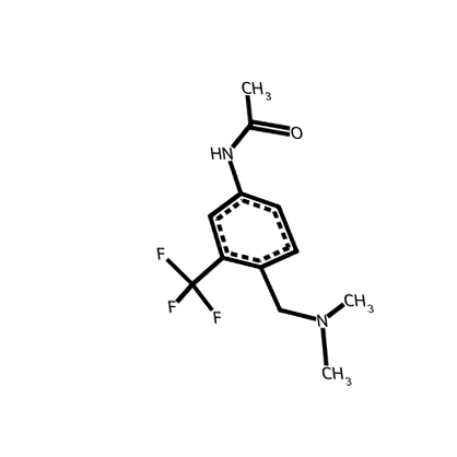 CC(=O)Nc1ccc(CN(C)C)c(C(F)(F)F)c1